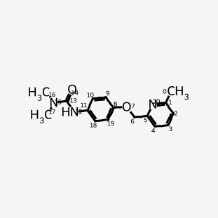 Cc1cccc(COc2ccc(NC(=O)N(C)C)cc2)n1